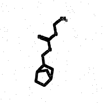 CCOC(=O)OCC1CC2CCC1C2